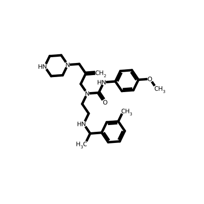 C=C(CN1CCNCC1)CN(CCNC(C)c1cccc(C)c1)C(=O)Nc1ccc(OC)cc1